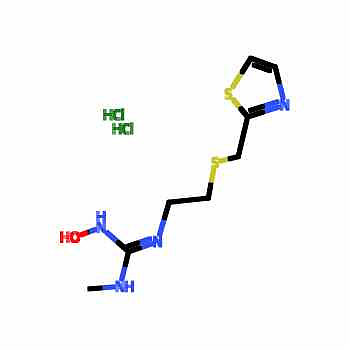 CN/C(=N/CCSCc1nccs1)NO.Cl.Cl